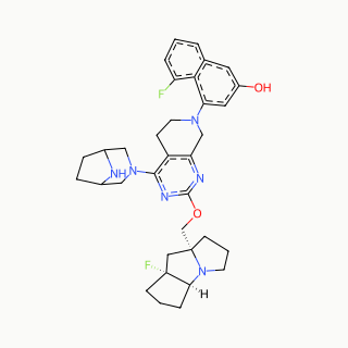 Oc1cc(N2CCc3c(nc(OC[C@]45CCCN4[C@H]4CCC[C@@]4(F)C5)nc3N3CC4CCC(C3)N4)C2)c2c(F)cccc2c1